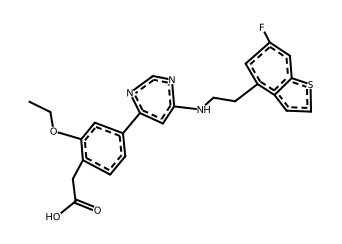 CCOc1cc(-c2cc(NCCc3cc(F)cc4sccc34)ncn2)ccc1CC(=O)O